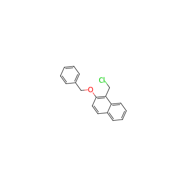 ClCc1c(OCc2ccccc2)ccc2ccccc12